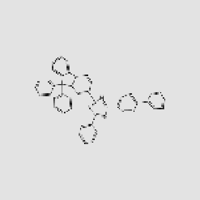 C1=CC2c3ccccc3C(c3ccccc3)(c3ccccc3)C2C=C1c1nc(-c2ccccc2)nc(-c2ccc(-c3ccccc3)cc2)n1